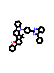 CC1(C)c2ccc3c(oc4ccccc43)c2-c2ccc3c4ccccc4n(-c4ccc(-c5nc(-c6ccccc6)c6ccccc6n5)cc4)c3c21